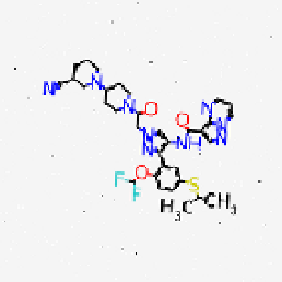 CC(C)Sc1ccc(OC(F)F)c(-c2nn(CC(=O)N3CCC(N4CCCC(C#N)C4)CC3)cc2NC(=O)c2cnn3cccnc23)c1